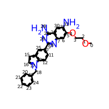 COCCOc1cc2nc(-c3ccc4c(ccn4Cc4ccccc4)c3)nc(N)c2cc1N